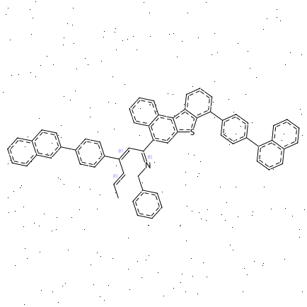 C/C=C/C(=C\C(=N/Cc1ccccc1)c1cc2sc3c(-c4ccc(-c5cccc6ccccc56)cc4)cccc3c2c2ccccc12)c1ccc(-c2ccc3ccccc3c2)cc1